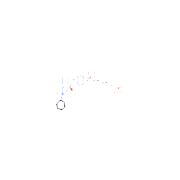 CC(=O)SCCCCCC(=O)N1CCN(CC(=O)Nc2nc3ccccc3s2)CC1